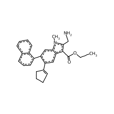 CCOC(=O)c1c(CN)n(C)c2cc(-c3cccc4ccccc34)c(C3=CCCC3)cc12